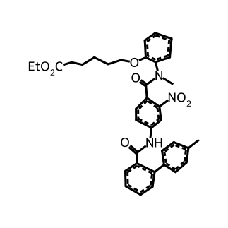 CCOC(=O)CCCCCOc1ccccc1N(C)C(=O)c1ccc(NC(=O)c2ccccc2-c2ccc(C)cc2)cc1[N+](=O)[O-]